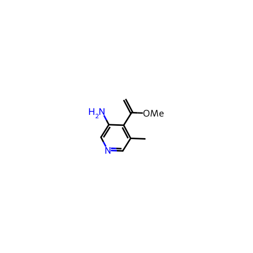 C=C(OC)c1c(C)cncc1N